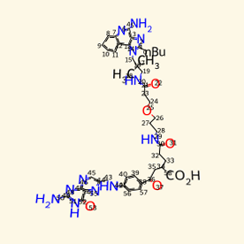 CCCCc1nc2c(N)nc3ccccc3c2n1CC(C)(C)CNC(=O)CCOCCCNC(=O)CCC(CC(=O)c1ccc(NCc2cnc3nc(N)[nH]c(=O)c3n2)cc1)C(=O)O